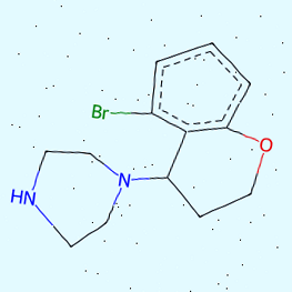 Brc1cccc2c1C(N1CCNCC1)CCO2